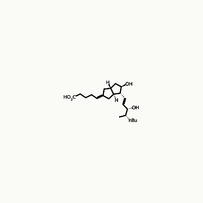 CCCC[C@H](C)[C@@H](O)C=C[C@@H]1[C@H]2CC(=CCCCC(=O)O)C[C@@H]2C[C@H]1O